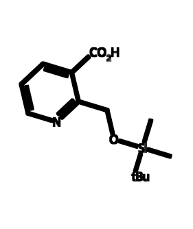 CC(C)(C)[Si](C)(C)OCc1ncccc1C(=O)O